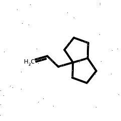 C=CCC12CCCC1CCC2